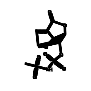 CS(=O)(=O)NS(=O)(=O)Oc1c2c3oc1cc3C(=O)O2